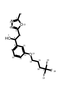 Cc1nnc(CC(O)c2cccc(OCCCC(F)(F)F)c2)o1